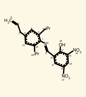 C=CCc1cc(C(C)C)c(N=Cc2cc([N+](=O)[O-])cc([N+](=O)[O-])c2O)c(C(C)C)c1